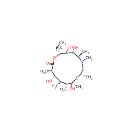 CC[C@H]1OC(=O)[C@H](C)[C@@H](O)[C@H](C)[C@@H](C)[C@](C)(O)C[C@@H](C)CN(C)[C@H](C)[C@@H](O)[C@]1(C)O